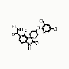 CCNC(=O)c1ccc2c(c1F)C1(CCC(Oc3ncc(Cl)cc3Cl)CC1)C(=O)N2